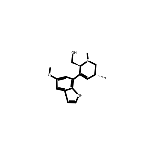 COc1cc(C2=C[C@@H](C)CN(C)[C@@H]2CO)c2[nH]ccc2c1